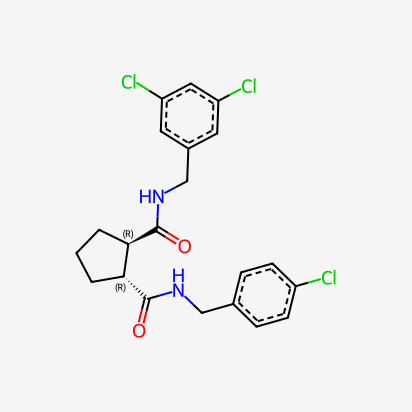 O=C(NCc1ccc(Cl)cc1)[C@@H]1CCC[C@H]1C(=O)NCc1cc(Cl)cc(Cl)c1